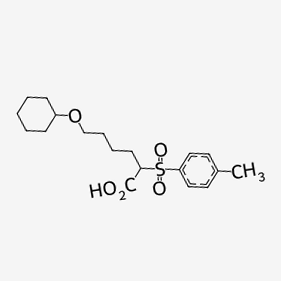 Cc1ccc(S(=O)(=O)C(CCCCOC2CCCCC2)C(=O)O)cc1